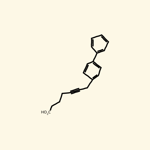 O=C(O)CCCC#CCc1ccc(-c2ccccc2)cc1